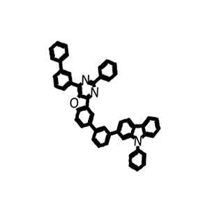 c1ccc(-c2cccc(-c3nc(-c4ccccc4)nc4c3oc3ccc(-c5cccc(-c6ccc7c8ccccc8n(-c8ccccc8)c7c6)c5)cc34)c2)cc1